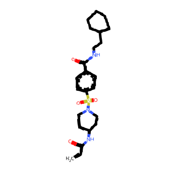 C=CC(=O)NC1CCN(S(=O)(=O)c2ccc(C(=O)NCCC3CCCCC3)cc2)CC1